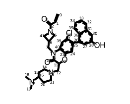 C=CC(=O)N1CC(CN2C(=O)C(CN3CCC(N(C)C)CC3)Oc3cc(-c4cc(O)cc5ccccc45)c(Cl)cc32)C1